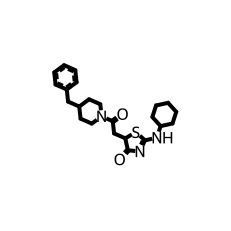 O=C1N=C(NC2CCCCC2)SC1CC(=O)N1CCC(Cc2ccccc2)CC1